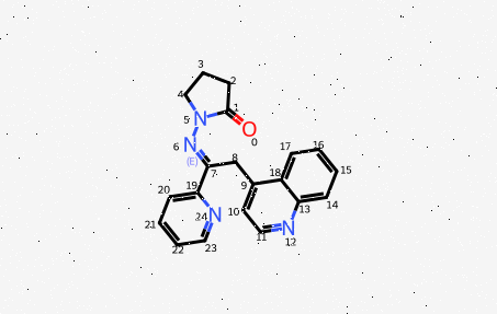 O=C1CCCN1/N=C(\Cc1ccnc2ccccc12)c1ccccn1